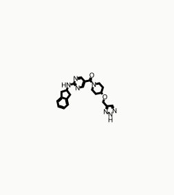 O=C(c1cnc(NC2Cc3ccccc3C2)nc1)N1CCC(OCc2cn[nH]n2)CC1